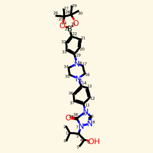 CC(C)C(C(C)O)n1ncn(-c2ccc(N3CCN(c4ccc(B5OC(C)(C)C(C)(C)O5)cc4)CC3)cc2)c1=O